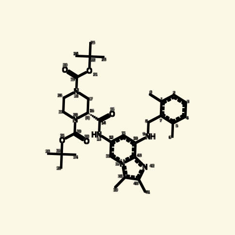 Cc1cccc(C)c1CNc1cc(NC(=O)[C@H]2CN(C(=O)OC(C)(C)C)CCN2C(=O)OC(C)(C)C)cn2c(C)c(C)nc12